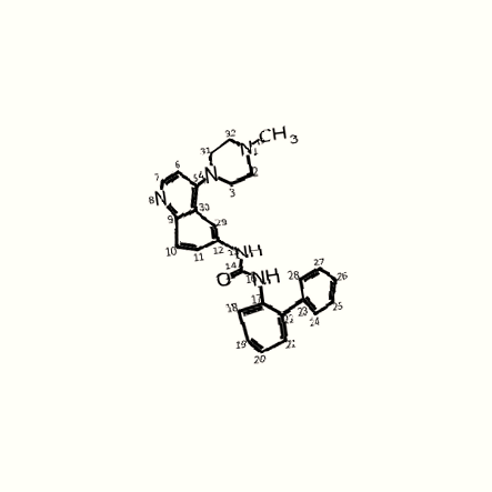 CN1CCN(c2ccnc3ccc(NC(=O)Nc4ccccc4-c4ccccc4)cc23)CC1